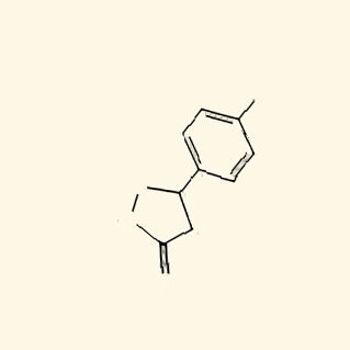 Oc1ccc(C2CC(=S)SS2)cc1